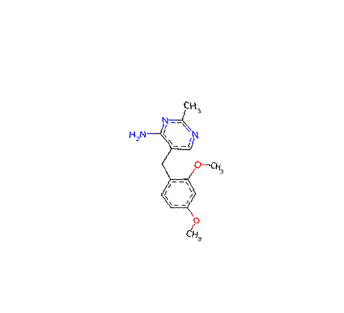 COc1ccc(Cc2cnc(C)nc2N)c(OC)c1